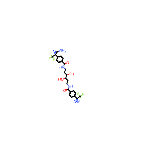 NC1=NC1(c1ccc(C(=O)NCC[C@@H](O)[C@H](O)CCNC(=O)c2ccc(C3(C(F)(F)F)N=N3)cc2)cc1)C(F)(F)F